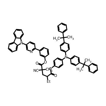 CCC(CC(C)(C#N)C(=O)Oc1cccc(-c2ccc(-n3c4ccccc4c4ccccc43)cn2)c1)C(=O)Oc1ccc(N(c2ccc(C(C)(C)c3ccccc3)cc2)c2ccc(C(C)(C)c3ccccc3)cc2)cc1